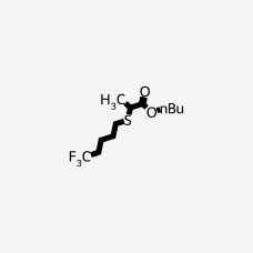 CCCCOC(=O)C(C)SCCCCC(F)(F)F